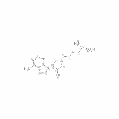 Nc1ncnc2c1ncn2[C@@H]1O[C@H](CSCC[C@H](N)C(=O)O)C[C@H]1O